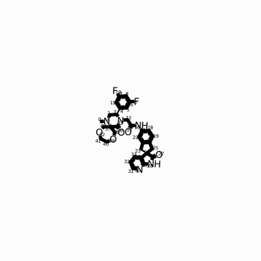 CN1C[C@@H](c2cc(F)cc(F)c2)N(CC(=O)Nc2ccc3c(c2)C[C@@]2(C3)C(=O)Nc3ncccc32)C(=O)C12COCCOC2